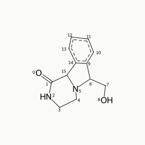 O=C1NCCN2C(CO)c3ccccc3C12